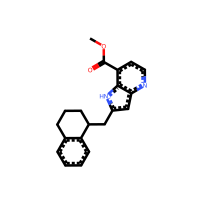 COC(=O)c1ccnc2cc(CC3CCCc4ccccc43)[nH]c12